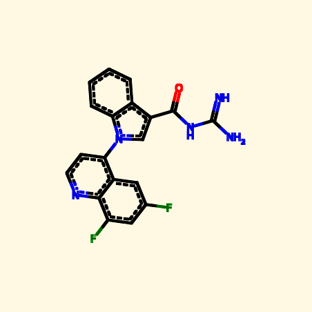 N=C(N)NC(=O)c1cn(-c2ccnc3c(F)cc(F)cc23)c2ccccc12